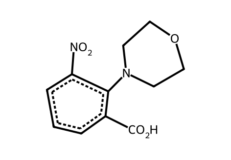 O=C(O)c1cccc([N+](=O)[O-])c1N1CCOCC1